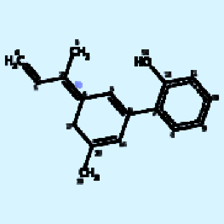 C=C/C(C)=C1/C=C(c2ccccc2O)C=C(C)C1